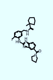 C=C(NCc1ccc(I)c(Nc2nc3cc(C(=O)N4CCCC4)ccc3[nH]2)c1)C1(C)CCCCC1